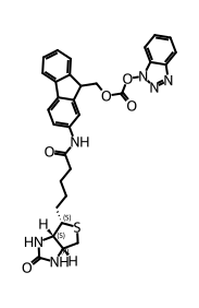 O=C(CCCC[C@@H]1SC[C@@H]2NC(=O)N[C@@H]21)Nc1ccc2c(c1)C(COC(=O)On1nnc3ccccc31)c1ccccc1-2